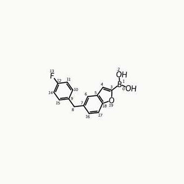 OB(O)c1cc2cc(Cc3ccc(F)cc3)ccc2o1